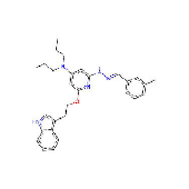 CCCN(CCC)c1cc(N/N=C/c2cccc(C)c2)nc(OCCc2c[nH]c3ccccc23)c1